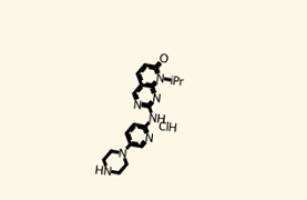 CC(C)n1c(=O)ccc2cnc(Nc3ccc(N4CCNCC4)cn3)nc21.Cl